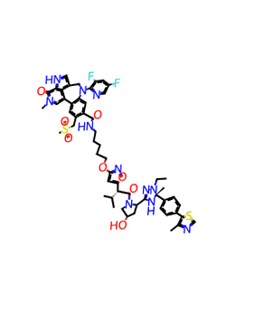 CCN1N=C(C2C[C@@H](O)CN2C(=O)[C@@H](c2cc(OCCCCCNC(=O)c3cc4c(cc3CS(C)(=O)=O)-c3cn(C)c(=O)c5[nH]cc(c35)CN4c3ncc(F)cc3F)no2)C(C)C)N[C@@]1(C)c1ccc(-c2scnc2C)cc1